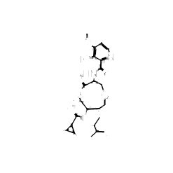 COc1ccnc(C(=O)N[C@H]2COC[C@H](CCC(C)C)[C@@H](OC(=O)C3CC3)[C@H](C)OC2=O)c1O